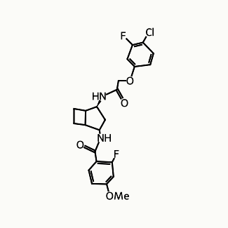 COc1ccc(C(=O)NC2C[C@H](NC(=O)COc3ccc(Cl)c(F)c3)C3CCC23)c(F)c1